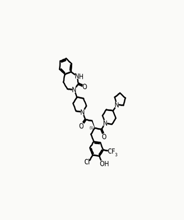 O=C(C[C@H](Cc1cc(Cl)c(O)c(C(F)(F)F)c1)C(=O)N1CCC(N2CCCC2)CC1)N1CCC(N2CCc3ccccc3NC2=O)CC1